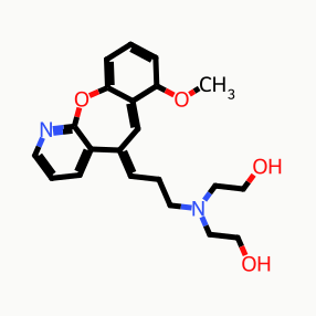 COC1C=CC=C2Oc3ncccc3C(=CCCN(CCO)CCO)C=C21